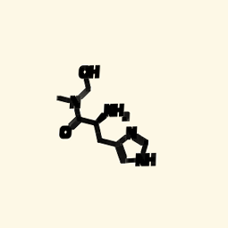 CN(CO)C(=O)[C@@H](N)Cc1c[nH]cn1